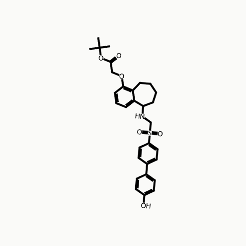 CC(C)(C)OC(=O)COc1cccc2c1CCCCC2NCS(=O)(=O)c1ccc(-c2ccc(O)cc2)cc1